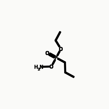 CCCP(=O)(ON)OCC